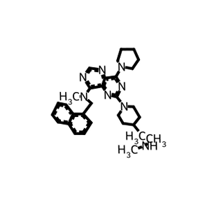 CC1CCN(c2nc(N3CCCCC3)c3ncnc(N(C)Cc4cccc5ccccc45)c3n2)CC1.CNC